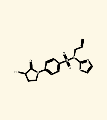 C=CCN(c1nccs1)S(=O)(=O)c1ccc(N2CCC(O)C2=O)cc1